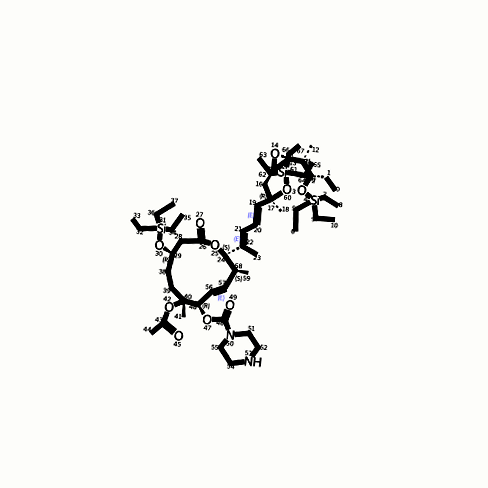 CC[C@H](O[Si](CC)(CC)CC)[C@@H](C)[C@H]1O[C@@H]1C[C@](C)(/C=C/C=C(\C)[C@H]1OC(=O)C[C@H](O[Si](CC)(CC)CC)CC[C@@](C)(OC(C)=O)[C@H](OC(=O)N2CCNCC2)/C=C/[C@@H]1C)O[Si](CC)(CC)CC